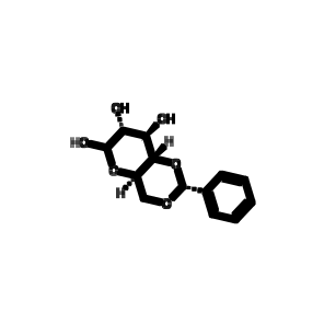 OC1O[C@@H]2CO[C@@H](c3ccccc3)O[C@H]2[C@H](O)[C@H]1O